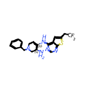 N[C@H]1CN(Cc2ccccc2)CC[C@@H]1Nc1ncnc2sc(CC(F)(F)F)cc12